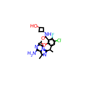 Cc1nc(C(C)c2cc(Cl)c(F)c(C(=O)N[C@H]3C[C@H](O)C3)c2OC(C)C)n2ccnc(N)c12